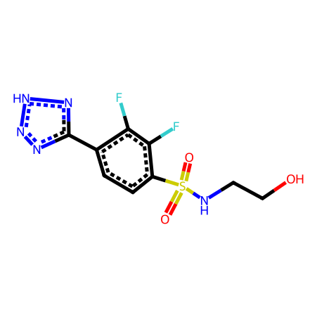 O=S(=O)(NCCO)c1ccc(-c2nn[nH]n2)c(F)c1F